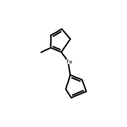 CC1=[C]([Fe][C]2=CC=CC2)CC=C1